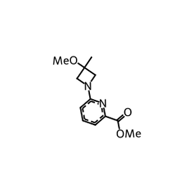 COC(=O)c1cccc(N2CC(C)(OC)C2)n1